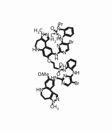 COc1cc2c(cc1Nc1ncc(Br)c(Nc3ccccc3NS(=O)(=O)CCOc3cc4c(cc3Nc3ncc(Br)c(Nc5ccccc5N(C(C)C)S(C)(=O)=O)n3)-c3cnn(C)c3CCN4)n1)-c1cnn(C)c1CCN2